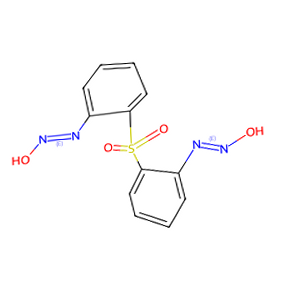 O=S(=O)(c1ccccc1/N=N/O)c1ccccc1/N=N/O